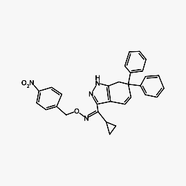 O=[N+]([O-])c1ccc(CO/N=C(\c2n[nH]c3c2C=CC(c2ccccc2)(c2ccccc2)C3)C2CC2)cc1